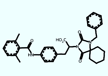 Cc1cccc(C)c1C(=O)Nc1ccc(CC(C(=O)O)N2C(=O)N(Cc3ccccc3)C3(CCCCC3)C2=O)cc1